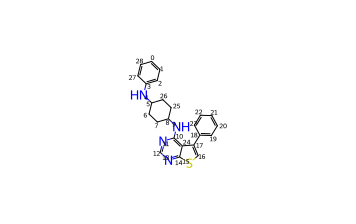 c1ccc(NC2CCC(Nc3ncnc4scc(-c5ccccc5)c34)CC2)cc1